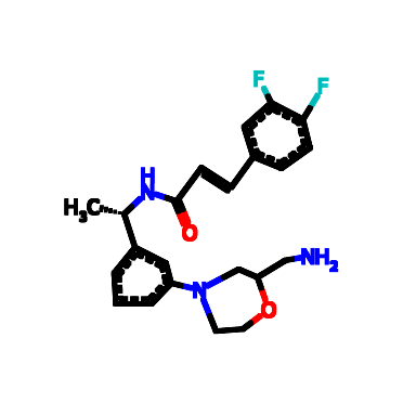 C[C@H](NC(=O)C=Cc1ccc(F)c(F)c1)c1cccc(N2CCOC(CN)C2)c1